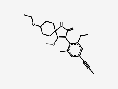 CC#Cc1cc(C)c(C2=C(OC)C3(CCC(OCC)CC3)NC2=O)c(CC)c1